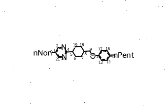 CCCCCCCCCc1cnc(C2CCC(COc3ccc(CCCCC)cc3)CC2)nc1